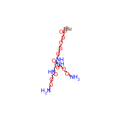 CC(C)(C)OC(=O)CCOCCOCCOCCOCCNC(=O)[C@H](CCCCNC(=O)CCOCCOCCN)NC(=O)CCOCCOCCN